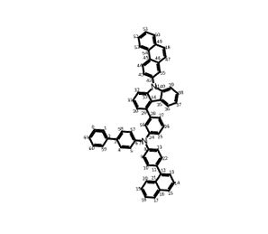 C1=C=C(c2ccc(N(c3ccc(-c4cccc5ccccc45)cc3)c3cccc(-c4cccc5c4c4ccccc4n5-c4ccc5c(ccc6ccccc65)c4)c3)cc2)C=CC=1